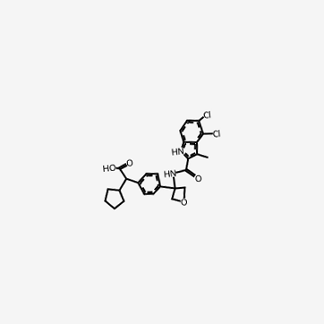 Cc1c(C(=O)NC2(c3ccc(C(C(=O)O)C4CCCC4)cc3)COC2)[nH]c2ccc(Cl)c(Cl)c12